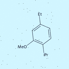 CCc1ccc(C(C)C)c(OC)c1